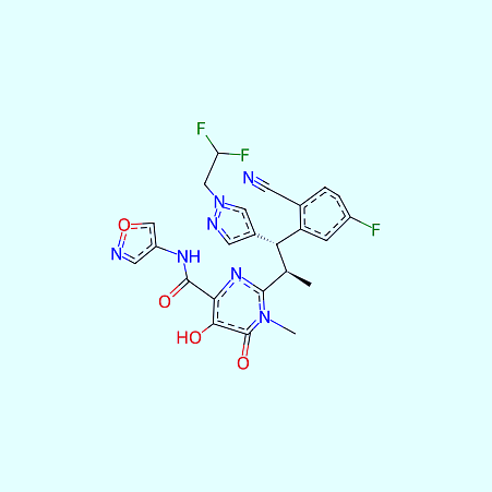 C[C@@H](c1nc(C(=O)Nc2cnoc2)c(O)c(=O)n1C)[C@H](c1cnn(CC(F)F)c1)c1cc(F)ccc1C#N